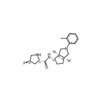 Cc1ccccc1N1C[C@H]2CC[C@H](NC(=O)[C@@H]3C[C@@H](F)CN3)[C@H]2C1